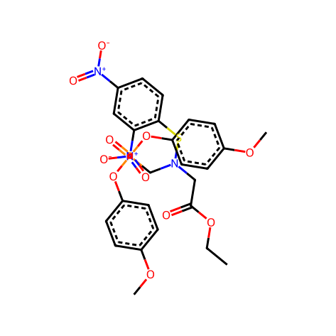 CCOC(=O)CN(CP(=O)(Oc1ccc(OC)cc1)Oc1ccc(OC)cc1)Sc1ccc([N+](=O)[O-])cc1[N+](=O)[O-]